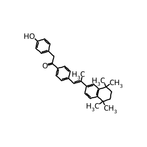 C/C(=C\c1ccc(C(=O)Cc2ccc(O)cc2)cc1)c1ccc2c(c1)C(C)(C)CCC2(C)C